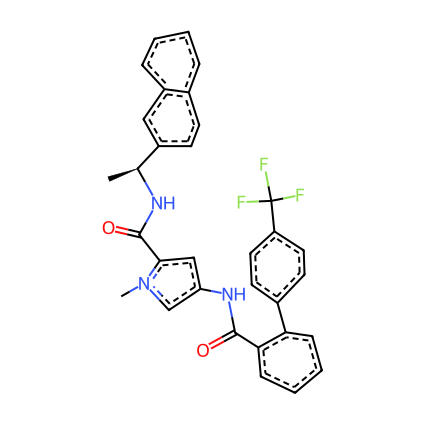 C[C@H](NC(=O)c1cc(NC(=O)c2ccccc2-c2ccc(C(F)(F)F)cc2)cn1C)c1ccc2ccccc2c1